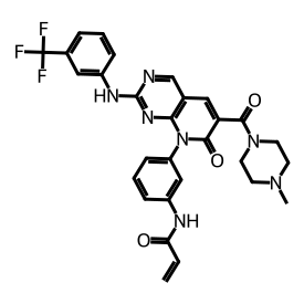 C=CC(=O)Nc1cccc(-n2c(=O)c(C(=O)N3CCN(C)CC3)cc3cnc(Nc4cccc(C(F)(F)F)c4)nc32)c1